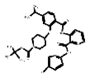 CC(C)c1ccc(C(=O)Nc2cccnc2C(=O)Nc2ccc(Cl)cn2)c(OC2CCN(C(=O)OC(C)(C)C)CC2)c1